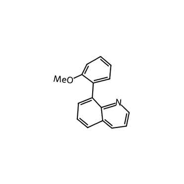 COc1ccccc1-c1cccc2cccnc12